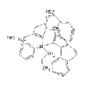 CC[SiH2][Zr]([C]1=C(C)Cc2ccc3ccccc3c21)([C]1=C(C)Cc2ccc3ccccc3c21)[c]1ccccc1.Cl.Cl